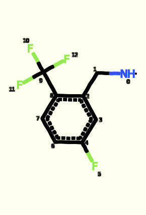 [NH]Cc1cc(F)ccc1C(F)(F)F